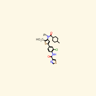 CC1CCC(C(=O)N(c2cc(-c3ccc(NC(=O)c4cscn4)c(Cl)c3)sc2C(=O)O)C(C)C)CC1